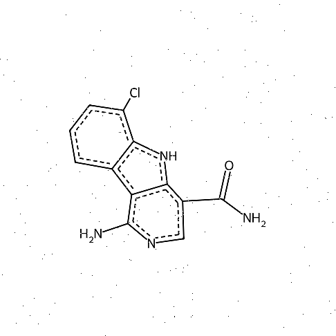 NC(=O)c1cnc(N)c2c1[nH]c1c(Cl)cccc12